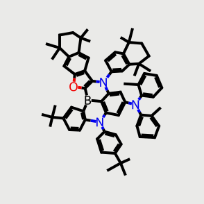 Cc1ccccc1N(c1cc2c3c(c1)N(c1ccc4c(c1)C(C)(C)CCC4(C)C)c1c(oc4cc5c(cc14)C(C)(C)CCC5(C)C)B3c1cc(C(C)(C)C)ccc1N2c1ccc(C(C)(C)C)cc1)c1ccccc1C